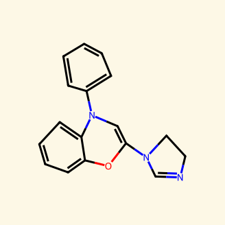 C1=NCCN1C1=CN(c2ccccc2)c2ccccc2O1